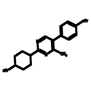 CCCc1ccc(-c2cnc(C3CCC(CCC)CC3)nc2C)cc1